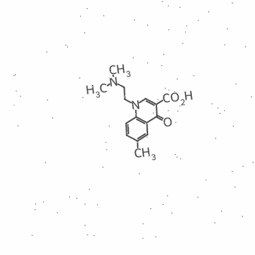 Cc1ccc2c(c1)c(=O)c(C(=O)O)cn2CCN(C)C